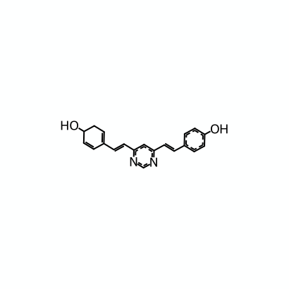 Oc1ccc(/C=C/c2cc(/C=C/C3=CCC(O)C=C3)ncn2)cc1